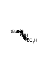 Cc1cc(CNC(=O)Cc2cc(-c3ccc(C(C)(C)C)cc3)nn2C)ccc1OC(C)(C)C(=O)O